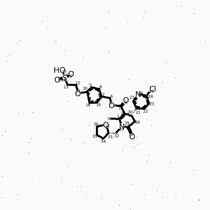 CC1=C(C(=O)OCc2ccc(OCCS(=O)(=O)O)cc2)[C@H](c2ccc(Cl)nc2)CC(=O)N1C[C@@H]1CCCO1